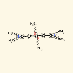 CCCCCCCCOc1cc(C#Cc2ccc(C#Cc3ccc(N(CCCCCC)CCCCCC)cc3)cc2)c(OCCCCCCCC)cc1C#Cc1ccc(C#Cc2ccc(N(CCCCCC)CCCCCC)cc2)cc1